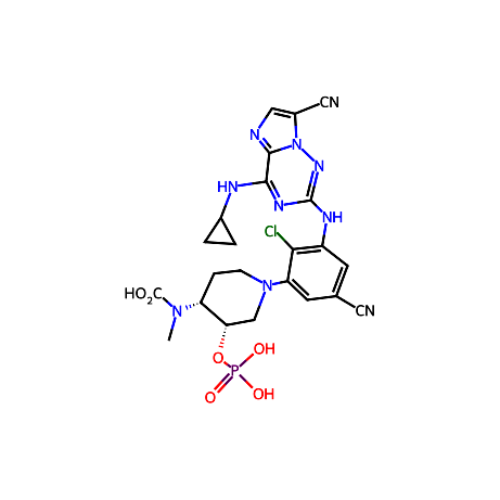 CN(C(=O)O)[C@@H]1CCN(c2cc(C#N)cc(Nc3nc(NC4CC4)c4ncc(C#N)n4n3)c2Cl)C[C@@H]1OP(=O)(O)O